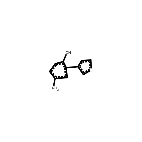 Nc1ccc(O)c(-c2ccsc2)c1